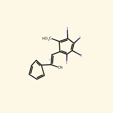 N#C/C(=C\c1c(I)c(I)c(I)c(I)c1C(=O)O)c1ccccc1